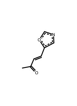 CC(=O)C=Cc1cnco1